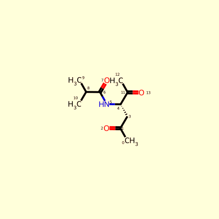 CC(=O)C[C@H](NC(=O)C(C)C)C(C)=O